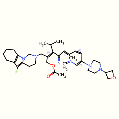 C=N\C=C(/C=C\C(C)=C\C(=N)/C(=C(\COC(C)=O)CN1CCc2c(F)c3c(n2C1)CCCC3)C(C)C)N1CCN(C2COC2)CC1